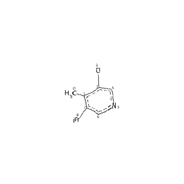 Cc1c(Cl)cncc1C(C)C